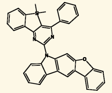 C[Si]1(C)c2ccccc2-c2nc(-n3c4ccccc4c4cc5c(cc43)oc3ccccc35)nc(-c3ccccc3)c21